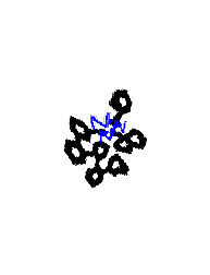 c1ccc(-c2nc(-c3cccc(-c4ccccc4-c4ccccc4-c4ccccc4-c4ccccc4)c3)nc(-c3cccc4ccccc34)n2)cc1